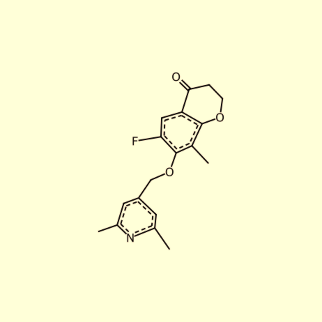 Cc1cc(COc2c(F)cc3c(c2C)OCCC3=O)cc(C)n1